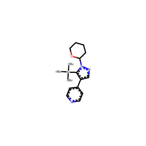 CCC[CH2][Sn]([CH2]CCC)([CH2]CCC)[c]1c(-c2ccncc2)cnn1C1CCCCO1